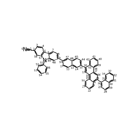 N#Cc1ccc2c3ccc(-c4ccc5cc(-c6cc7c8ccccc8c(-c8cccc9ccccc89)cc7c7ccccc67)ccc5c4)cc3n(-c3ccccc3)c2c1